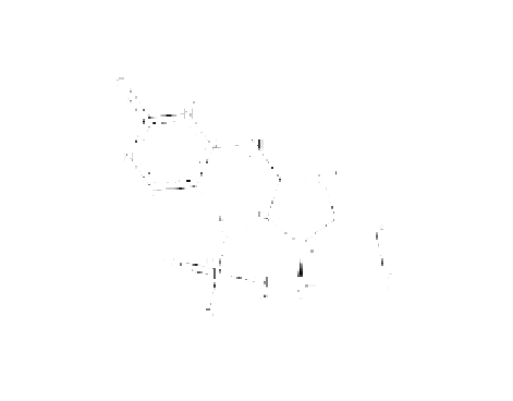 O=c1nc(NC2O[C@H](CO)[C@@H](O)[C@@H]2OP(=O)(O)O)cc[nH]1